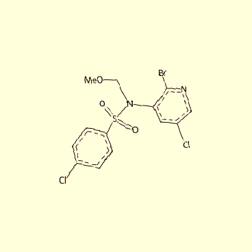 COCN(c1cc(Cl)cnc1Br)S(=O)(=O)c1ccc(Cl)cc1